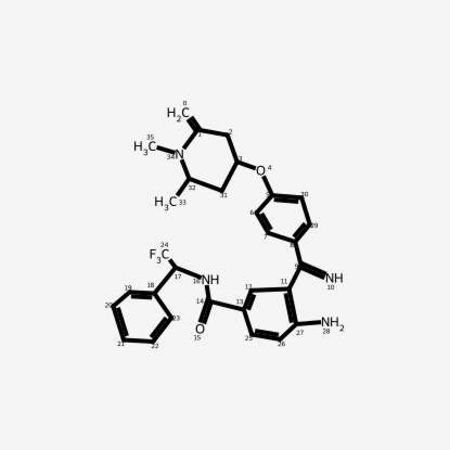 C=C1CC(Oc2ccc(C(=N)c3cc(C(=O)NC(c4ccccc4)C(F)(F)F)ccc3N)cc2)CC(C)N1C